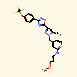 COCCCNc1cc(Cn2nc(-c3nc(-c4ccc(OC(F)(F)F)cc4)no3)cc2C)ccn1